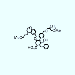 COCCCN1CCOc2ccc(CO[C@H]3CN(C(=O)O)C(Cc4ccccc4)[C@@H](CO)[C@@H]3c3ccc(COC[C@@H](C)COC)cc3)cc21